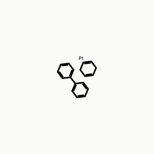 C1=CCC=CC1.[Pt].c1ccc(-c2ccccc2)cc1